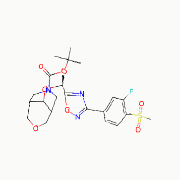 C[C@H](OC1C2COCC1CN(C(=O)OC(C)(C)C)C2)c1nc(-c2ccc(S(C)(=O)=O)c(F)c2)no1